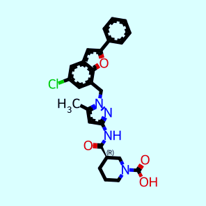 Cc1cc(NC(=O)[C@@H]2CCCN(C(=O)O)C2)nn1Cc1cc(Cl)cc2cc(-c3ccccc3)oc12